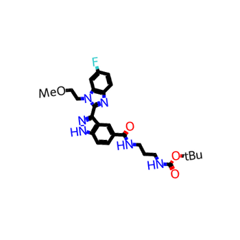 COCCn1c(-c2n[nH]c3ccc(C(=O)NCCCNC(=O)OC(C)(C)C)cc23)nc2ccc(F)cc21